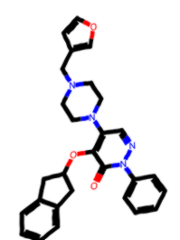 O=c1c(OC2Cc3ccccc3C2)c(N2CCN(Cc3ccoc3)CC2)cnn1-c1ccccc1